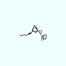 CCCCC#Cc1cncc(OC[C@@H]2CCCN2C)c1